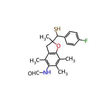 Cc1c(C)c2c(c(C)c1NC=O)CC(C)(C(S)c1ccc(F)cc1)O2